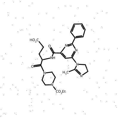 CCOC(=O)N1CCN(C(=O)C(CCC(=O)O)NC(=O)c2cc(N3CCN=C3C)nc(-c3ccccc3)n2)CC1